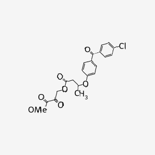 COC(=O)C(=O)COC(=O)CC(C)Oc1ccc(C(=O)c2ccc(Cl)cc2)cc1